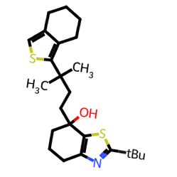 CC(C)(C)c1nc2c(s1)C(O)(CCC(C)(C)c1scc3c1CCCC3)CCC2